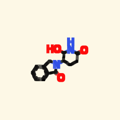 O=C1CC[C@@H](N2Cc3ccccc3C2=O)C(O)N1